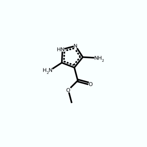 COC(=O)c1c(N)n[nH]c1N